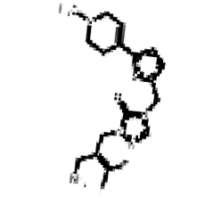 CN1CC=C(c2ccc(Cn3cnn(CC(CN)=C(F)F)c3=O)s2)CC1